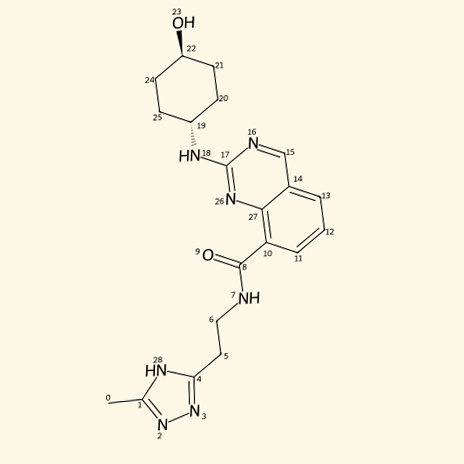 Cc1nnc(CCNC(=O)c2cccc3cnc(N[C@H]4CC[C@H](O)CC4)nc23)[nH]1